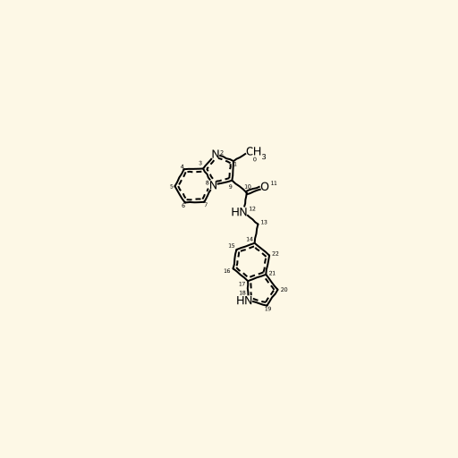 Cc1nc2ccccn2c1C(=O)NCc1ccc2[nH]ccc2c1